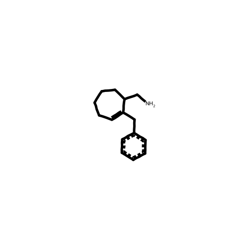 NCC1CCCCC=C1Cc1ccccc1